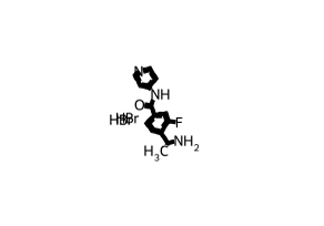 Br.Br.CC(N)c1ccc(C(=O)Nc2ccncc2)cc1F